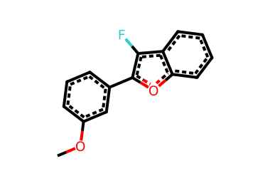 COc1cccc(-c2oc3ccccc3c2F)c1